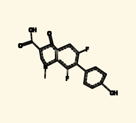 Cn1cc(C(=O)O)c(=O)c2cc(F)c(-c3ccc(O)cc3)c(F)c21